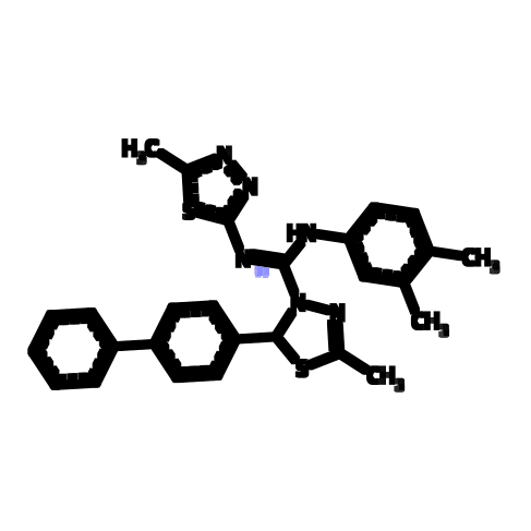 CC1=NN(/C(=N/c2nnc(C)s2)Nc2ccc(C)c(C)c2)C(c2ccc(-c3ccccc3)cc2)S1